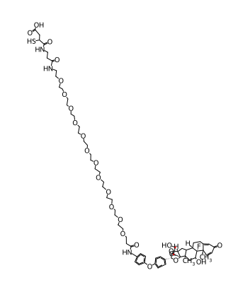 C[C@]12C=CC(=O)C=C1CC[C@H]1C3C[C@H]4O[C@@H](c5ccc(Oc6ccc(NC(=O)CCOCCOCCOCCOCCOCCOCCOCCOCCOCCOCCOCCOCCNC(=O)CCNC(=O)C(S)CC(=O)O)cc6)cc5)O[C@@]4(C(=O)CO)[C@@]3(C)C[C@H](O)[C@@]12F